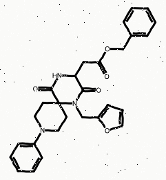 O=C(CC1NC(=O)C2(CCN(c3ccccc3)CC2)N(Cc2ccco2)C1=O)OCc1ccccc1